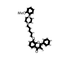 COc1ccccc1N1CCN(CCCCCOc2cccc3c(=O)c(C)c(-c4ccccc4)oc23)CC1